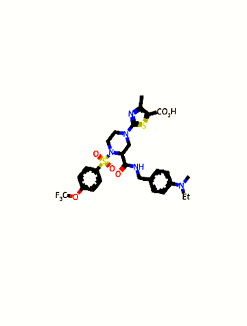 CCN(C)c1ccc(CNC(=O)C2CN(c3nc(C)c(C(=O)O)s3)CCN2S(=O)(=O)c2ccc(OC(F)(F)F)cc2)cc1